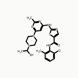 Cc1nc(Nc2ncc(C(=O)Nc3c(C)cccc3Cl)s2)cc(N2CCN(C(C)S)CC2)n1